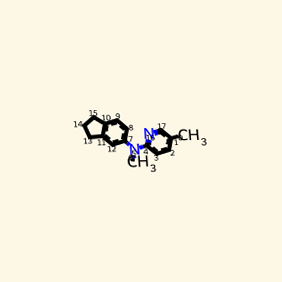 Cc1ccc(N(C)c2ccc3c(c2)CCC3)nc1